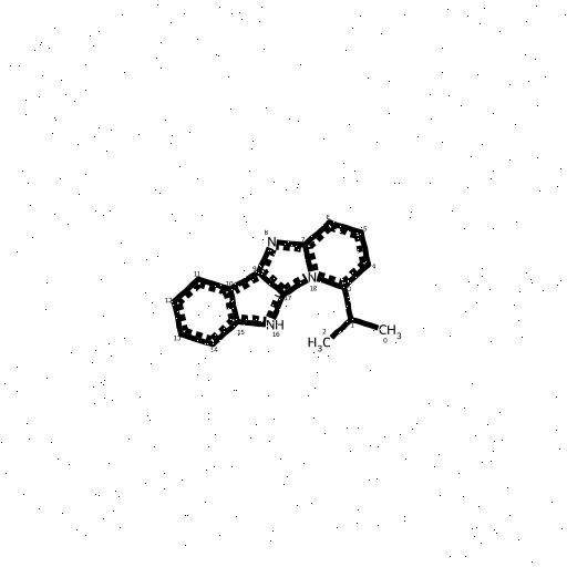 CC(C)c1cccc2nc3c4ccccc4[nH]c3n12